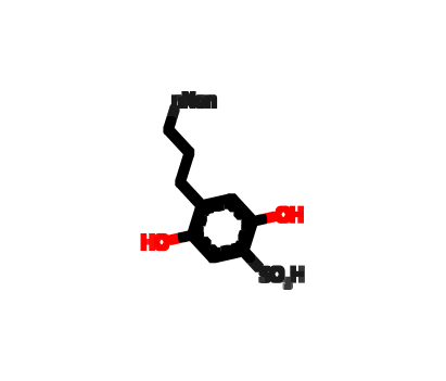 CCCCCCCCCCCCc1cc(O)c(S(=O)(=O)O)cc1O